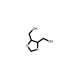 OCC1OCSC1CO